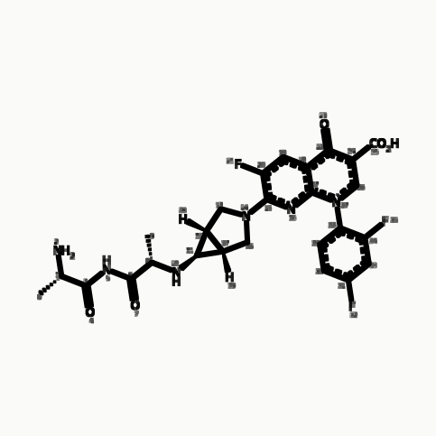 C[C@H](N)C(=O)NC(=O)[C@H](C)N[C@H]1[C@@H]2CN(c3nc4c(cc3F)c(=O)c(C(=O)O)cn4-c3ccc(F)cc3F)C[C@@H]21